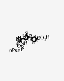 CCCCCOC(=O)Nc1c(-c2ccc(O[C@H]3CCC[C@H](C(=O)O)C3)c(C)n2)nnn1C